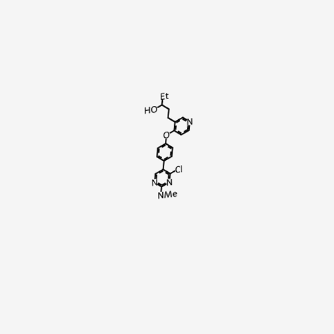 CCC(O)CCc1cnccc1Oc1ccc(-c2cnc(NC)nc2Cl)cc1